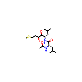 CSCCC(=O)C(=O)[C@H](CC(C)C)NC(=O)[C@H](CC(C)C)NC(C)=O